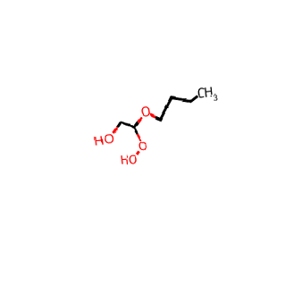 CCCCOC(CO)OO